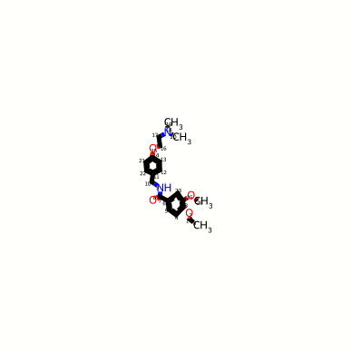 CCOc1ccc(C(=O)NCc2ccc(OCCN(C)C)cc2)cc1OC